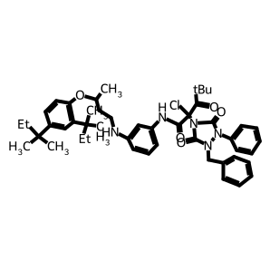 CCC(C)(C)c1ccc(OC(C)CCNc2cccc(NC(=O)C(Cl)(C(=O)C(C)(C)C)n3c(=O)n(Cc4ccccc4)n(-c4ccccc4)c3=O)c2)c(C(C)(C)CC)c1